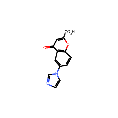 O=C(O)c1cc(=O)c2cc(-n3ccnc3)ccc2o1